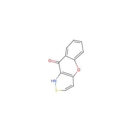 O=c1c2c(oc3ccccc13)C=CSN2